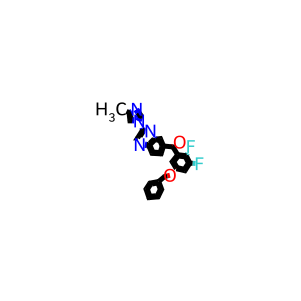 Cc1cn(-c2cnc3ccc(C(=O)c4cc(OCc5ccccc5)cc(F)c4F)cc3n2)cn1